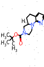 CC(C)(C)OC(=O)N1CCN2c3ncccc3CC[C@@H]2C1